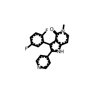 Cn1ccc2[nH]c(-c3ccncc3)c(-c3cc(F)ccc3F)c2c1=O